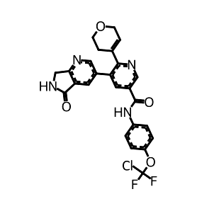 O=C(Nc1ccc(OC(F)(F)Cl)cc1)c1cnc(C2=CCOCC2)c(-c2cnc3c(c2)C(=O)NC3)c1